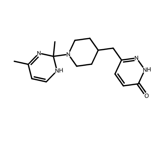 CC1=NC(C)(N2CCC(Cc3ccc(=O)[nH]n3)CC2)NC=C1